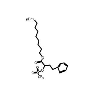 CCCCCCCCCCCCCCCCCCOC(=O)C(CCc1ccccc1)OS(=O)(=O)C(F)(F)F